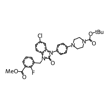 COC(=O)c1cccc(Cn2c(=O)n(-c3ccc(N4CCN(C(=O)OC(C)(C)C)CC4)cc3)c3cc(Cl)ccc32)c1F